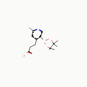 COC(=O)CCc1cc(Cl)ncc1B1OC(C)(C)C(C)(C)O1